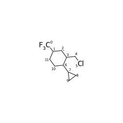 FC(F)(F)C1[CH]C(CCl)C(C2CC2)CC1